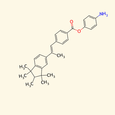 CC(=Cc1ccc(C(=O)Oc2ccc(N)cc2)cc1)c1ccc2c(c1)C(C)(C)C(C)C2(C)C